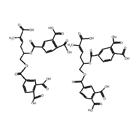 C/C(=C\CC(COC(=O)c1ccc(C(=O)O)c(C(=O)O)c1)OC(=O)c1ccc(C(=O)O)c(C(=O)O)c1)C(=O)O.C/C(=C\CC(COC(=O)c1ccc(C(=O)O)c(C(=O)O)c1)OC(=O)c1ccc(C(=O)O)c(C(=O)O)c1)C(=O)O